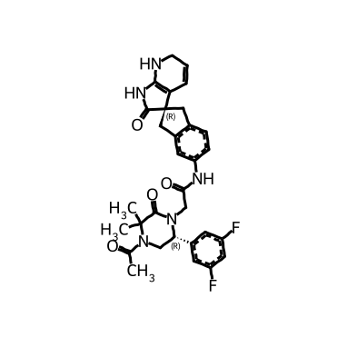 CC(=O)N1C[C@@H](c2cc(F)cc(F)c2)N(CC(=O)Nc2ccc3c(c2)C[C@@]2(C3)C(=O)NC3=C2C=CCN3)C(=O)C1(C)C